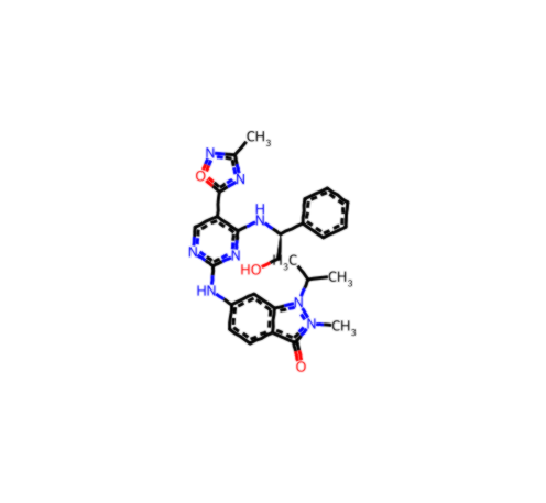 Cc1noc(-c2cnc(Nc3ccc4c(=O)n(C)n(C(C)C)c4c3)nc2N[C@H](CO)c2ccccc2)n1